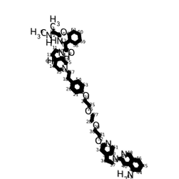 CN[C@@H](C)C(=O)N[C@H](C(=O)N1CC[C@H]2CCN(CCc3ccc(OCCOCCOCCOc4cc5ccn(-c6cc7c(N)cccc7cn6)c5cn4)cc3)C[C@H]21)C1CCCCC1